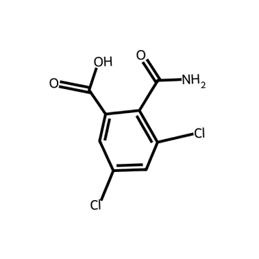 NC(=O)c1c(Cl)cc(Cl)cc1C(=O)O